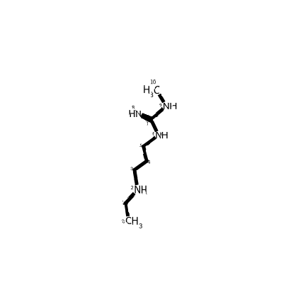 CCNCCCNC(=N)NC